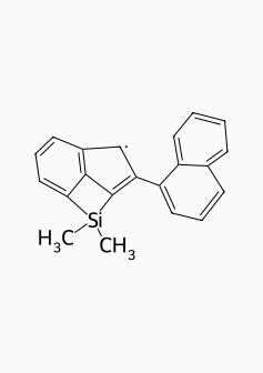 C[Si]1(C)C2=C(c3cccc4ccccc34)[CH]c3cccc1c32